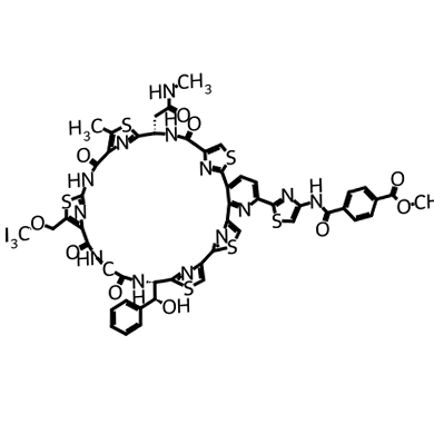 CNC(=O)C[C@@H]1NC(=O)c2csc(n2)-c2ccc(-c3nc(NC(=O)c4ccc(C(=O)OC)cc4)cs3)nc2-c2csc(n2)-c2csc(n2)[C@H]([C@@H](O)c2ccccc2)NC(=O)CNC(=O)c2nc(sc2COC)NC(=O)c2nc1sc2C